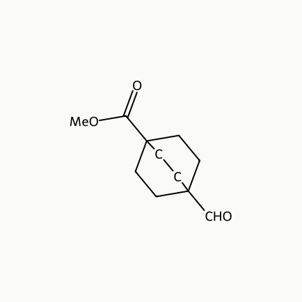 COC(=O)C12CCC(C=O)(CC1)CC2